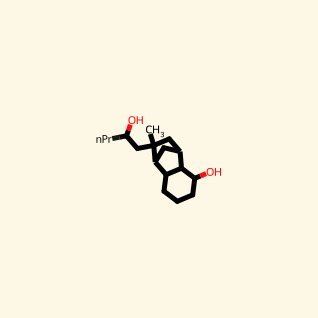 CCCC(O)CC1(C)CC2CC1C1CCCC(O)C21